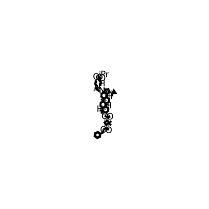 CC(C)S(=O)(=O)N1CCN([C@@H](C)CN[C@]23CC[C@@H](C4(C)CC4)[C@@H]2[C@H]2CC[C@@H]4[C@@]5(C)CC[C@H](OC(=O)[C@H]6C[C@@H](C(=O)OCc7ccccc7)C6(C)C)C(C)(C)[C@@H]5CC[C@@]4(C)[C@]2(C)CC3)CC1